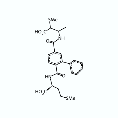 CSCC[C@H](NC(=O)c1ccc(C(=O)NC(C)C(SC)C(=O)O)cc1-c1ccccc1)C(=O)O